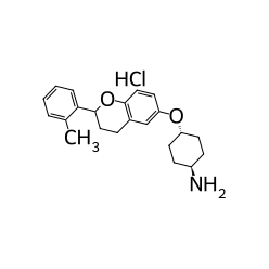 Cc1ccccc1C1CCc2cc(O[C@H]3CC[C@H](N)CC3)ccc2O1.Cl